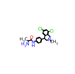 CC(N)C(=O)Nc1ccc(C2CN(C)Cc3c(Cl)cc(Cl)cc32)cc1